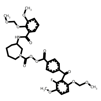 COCOc1ccc(OC)c(F)c1C(=O)c1ccc(C(=O)OOC(=O)N2CCCCC(NC(=O)c3cccc(OC)c3OCOC)C2)cc1